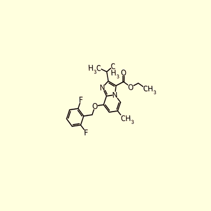 CCOC(=O)c1c(C(C)C)nc2c(OCc3c(F)cccc3F)cc(C)cn12